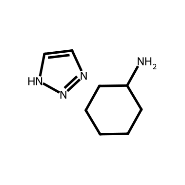 NC1CCCCC1.c1c[nH]nn1